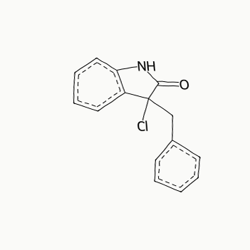 O=C1Nc2ccccc2C1(Cl)Cc1ccccc1